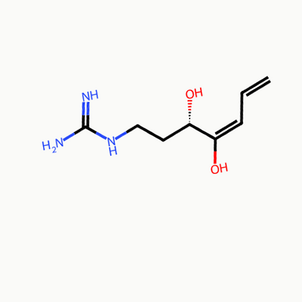 C=C/C=C(/O)[C@@H](O)CCNC(=N)N